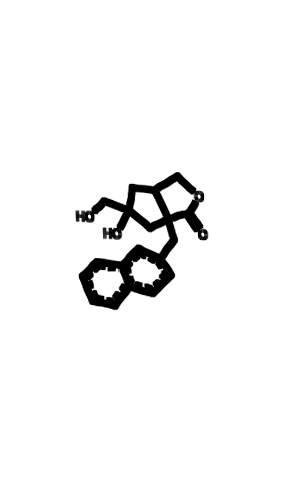 O=C1OCC2CC(O)(CO)CC12Cc1ccc2ccccc2c1